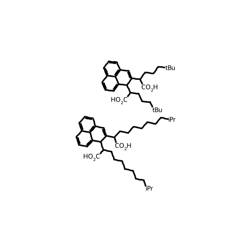 CC(C)(C)CCCC(C(=O)O)C1=Cc2cccc3cccc(c23)C1C(CCCC(C)(C)C)C(=O)O.CC(C)CCCCCCCC(C(=O)O)C1=Cc2cccc3cccc(c23)C1C(CCCCCCCC(C)C)C(=O)O